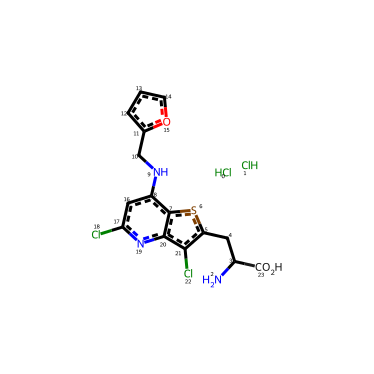 Cl.Cl.NC(Cc1sc2c(NCc3ccco3)cc(Cl)nc2c1Cl)C(=O)O